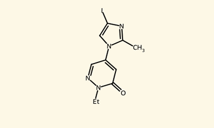 CCn1ncc(-n2cc(I)nc2C)cc1=O